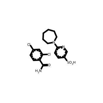 NC(=O)c1ccc(Cl)cc1Cl.O=S(=O)(O)c1ccc(N2CCCCCC2)nc1